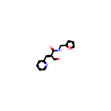 O=[C]/C(=C\c1ccccn1)C(=O)NCc1ccco1